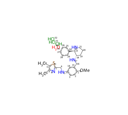 COc1ccc(NCc2nc(C)c(C)s2)cc1CN[C@H]1CCCN[C@@H]1c1ccccc1.Cl.Cl.Cl.O